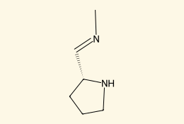 C/N=C/[C@H]1CCCN1